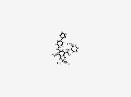 BC1(B)Oc2c(C(=O)N[C@H]3CCCC[C@@H]3O)cc(Cc3ccc(-n4cccn4)cc3)c(C)c2O1